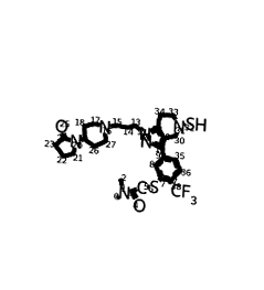 CN(C)C(=O)CSc1cc(-c2nn(CCCN3CCC(N4CCCC4=O)CC3)c3c2CN(S)CC3)ccc1C(F)(F)F